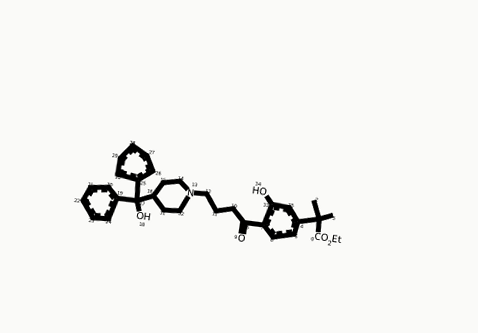 CCOC(=O)C(C)(C)c1ccc(C(=O)CCCN2CCC(C(O)(c3ccccc3)c3ccccc3)CC2)c(O)c1